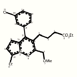 CCOC(=O)CCCc1c(COC)nn2c(CC)ccc2c1-c1cccc(Cl)c1